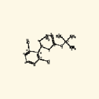 CC(C)(C)OC(=O)CC(CN)c1c(Cl)cccc1Cl